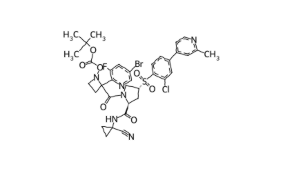 Cc1cc(-c2ccc(S(=O)(=O)[C@@H]3C[C@@H](C(=O)NC4(C#N)CC4)N(C(=O)C4(c5ncc(Br)cc5F)CCN4OC(=O)OC(C)(C)C)C3)c(Cl)c2)ccn1